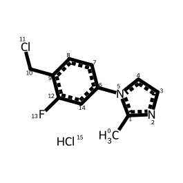 Cc1nccn1-c1ccc(CCl)c(F)c1.Cl